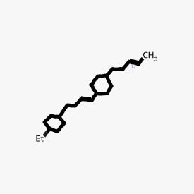 C/C=C/CCC1CCC(C=CCCC2CCC(CC)CC2)CC1